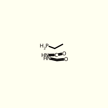 CCP.N=C=O.N=C=O